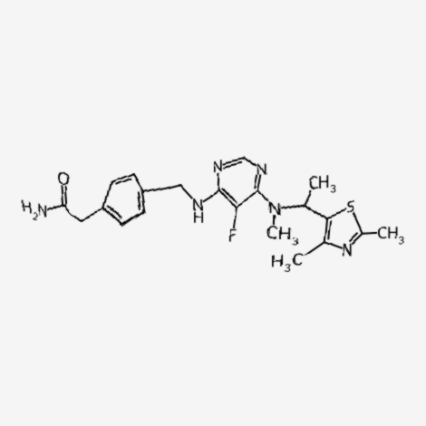 Cc1nc(C)c(C(C)N(C)c2ncnc(NCc3ccc(CC(N)=O)cc3)c2F)s1